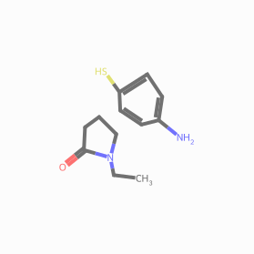 CCN1CCCC1=O.Nc1ccc(S)cc1